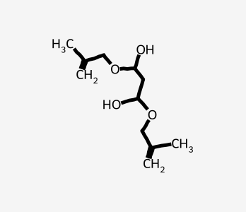 C=C(C)COC(O)CC(O)OCC(=C)C